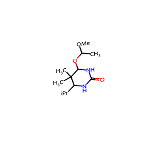 COC(C)OC1NC(=O)NC(C(C)C)C1(C)C